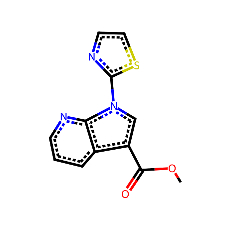 COC(=O)c1cn(-c2nccs2)c2ncccc12